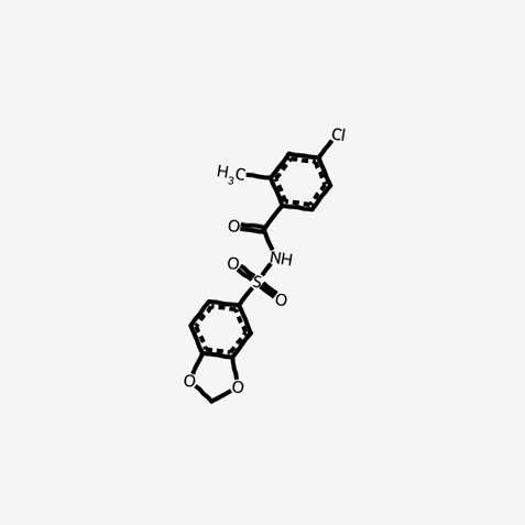 Cc1cc(Cl)ccc1C(=O)NS(=O)(=O)c1ccc2c(c1)OCO2